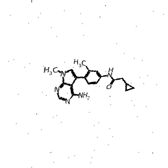 Cc1cc(NC(=O)CC2CC2)ccc1-c1cn(C)c2ncnc(N)c12